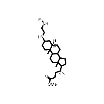 COC(=O)CC[C@@H](C)C1CCC2C3CC[C@H]4CC(NCCNC(C)C)CCC4(C)C3CCC21C